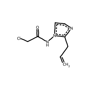 C=CCc1nccn1NC(=O)CCl